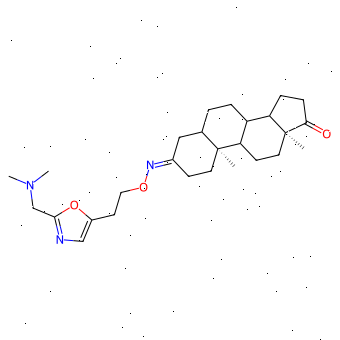 CN(C)Cc1ncc(CCO/N=C2\CC[C@@]3(C)C(CCC4C3CC[C@]3(C)C(=O)CCC43)C2)o1